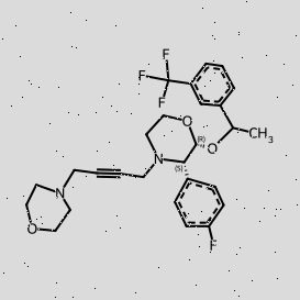 CC(O[C@H]1OCCN(CC#CCN2CCOCC2)[C@H]1c1ccc(F)cc1)c1cccc(C(F)(F)F)c1